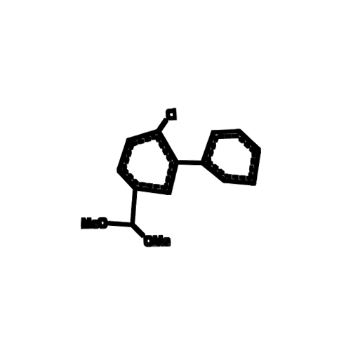 COC(OC)c1ccc(Cl)c(-c2ccccc2)c1